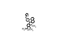 CCc1c(C(N)=O)ccc(C(c2cccc3cccnc23)N2CCN(Cc3ccco3)CC2)c1CC